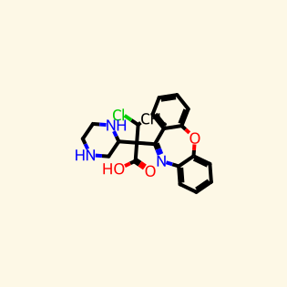 CC(Cl)C(C(=O)O)(C1=Nc2ccccc2Oc2ccccc21)C1CNCCN1